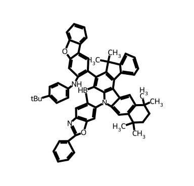 CC(C)(C)c1ccc(Nc2cc3oc4ccccc4c3cc2-c2c3c(c4c5cc6c(cc5n5c4c2Bc2cc4nc(-c7ccccc7)oc4cc2-5)C(C)(C)CCC6(C)C)-c2ccccc2C3(C)C)cc1